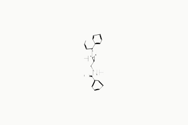 C/C=C\C(=N/NCCNC(=O)c1ccccc1)c1ccccc1